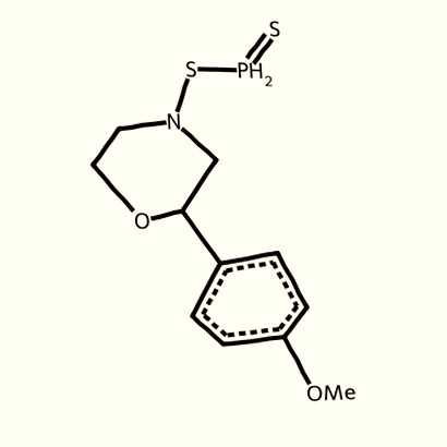 COc1ccc(C2CN(S[PH2]=S)CCO2)cc1